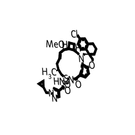 CO[C@H]1/C=C/C[C@H](C)C[S@@](=O)(NC(=O)c2cnn(CC3CC3)c2)=NC(=O)c2ccc3c(c2)N(C[C@@H]2CC[C@H]21)C[C@@]1(CCCc2cc(Cl)ccc21)CO3